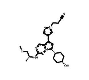 COC[C@H](C)Nc1ncc2c(-c3cnn(CCC#N)c3)cc([C@H]3CC[C@H](O)CC3)n2n1